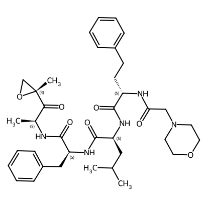 CC(C)C[C@H](NC(=O)[C@H](CCc1ccccc1)NC(=O)CN1CCOCC1)C(=O)N[C@@H](Cc1ccccc1)C(=O)N[C@@H](C)C(=O)[C@@]1(C)CO1